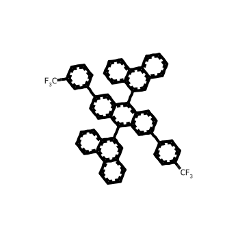 FC(F)(F)c1ccc(-c2ccc3c(-c4cc5ccccc5c5ccccc45)c4cc(-c5cccc(C(F)(F)F)c5)ccc4c(-c4cc5ccccc5c5ccccc45)c3c2)cc1